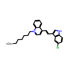 CCCCCCCCCCCCCCCC[n+]1ccc(/C=C/c2c[nH]c3ccc(Br)cc23)c2ccccc21